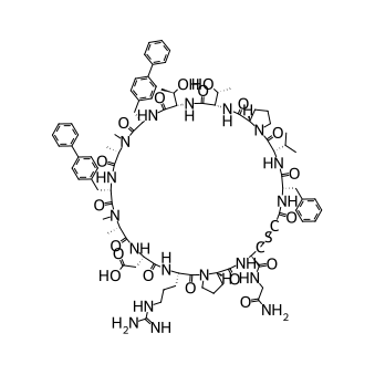 CC(C)[C@@H]1NC(=O)[C@H](Cc2ccccc2)NC(=O)CSC[C@@H](C(=O)NCC(N)=O)NC(=O)[C@@H]2CCCN2C(=O)[C@H](CCCNC(=N)N)NC(=O)[C@H](CC(=O)O)NC(=O)[C@H](C)N(C)C(=O)[C@H](Cc2ccc(-c3ccccc3)cc2)NC(=O)[C@H](C)N(C)C(=O)[C@H](Cc2ccc(-c3ccccc3)cc2)NC(=O)[C@H]([C@@H](C)O)NC(=O)[C@H]([C@@H](C)O)NC(=O)[C@@H]2CCCN2C1=O